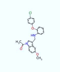 COc1ccc2c(c1)c(CNc1ccccc1Oc1ccc(Cl)cc1)cn2C(C)=O